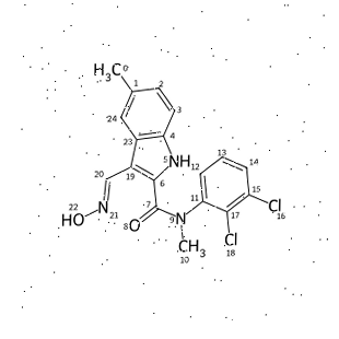 Cc1ccc2[nH]c(C(=O)N(C)c3cccc(Cl)c3Cl)c(C=NO)c2c1